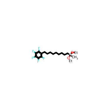 CCO[Si](C)(CCCCCCCCCc1c(F)c(F)c(F)c(F)c1F)OCC